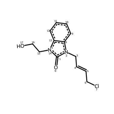 O=c1n(CC=CCCl)c2ccccc2n1CCO